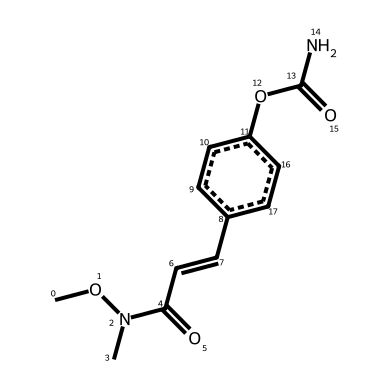 CON(C)C(=O)/C=C/c1ccc(OC(N)=O)cc1